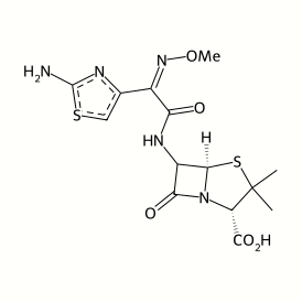 CO/N=C(\C(=O)NC1C(=O)N2[C@@H]1SC(C)(C)[C@@H]2C(=O)O)c1csc(N)n1